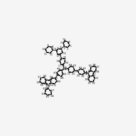 c1ccc(-c2cc(-c3ccccc3)cc(-c3ccc(N(c4ccc(-c5ccc(-n6c7ccccc7c7ccccc76)cc5)cc4)c4ccc(-c5ccc6c(c5)c5ccccc5n6-c5ccccc5)cc4)cc3)c2)cc1